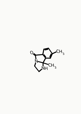 Cc1ccc2c(c1)C1(C)NCCN1C2=O